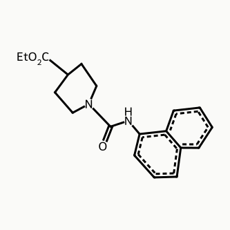 CCOC(=O)C1CCN(C(=O)Nc2cccc3ccccc23)CC1